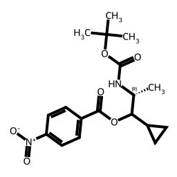 C[C@@H](NC(=O)OC(C)(C)C)C(OC(=O)c1ccc([N+](=O)[O-])cc1)C1CC1